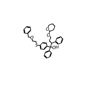 OC(c1ccccc1)(c1ccc(SCCOCc2ccccc2)cc1)C(CCOC1CCCCO1)c1ccccc1